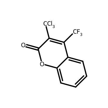 O=c1oc2ccccc2c(C(F)(F)F)c1C(Cl)(Cl)Cl